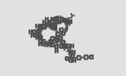 CC(C)CCC(=O)NC1C(=O)N[C@@H](CC(N)=O)C(=O)N[C@H]2C(=O)N[C@@H](C(N)=O)c3ccc(O)c(c3)-c3c(O)cc(O)cc3[C@H](C(=O)O)NC(=O)C[C@H](O)c3ccc(c(Cl)c3)Oc3cc2cc(c3OC2OC(CO)C(O)C(O)C2OC(C)OC(C)C(O)C(C)(C)NCC(OCc2ccc(-c3ccc(Cl)cc3)cc2)C(=O)O)Oc2ccc(cc2Cl)[C@H]1O